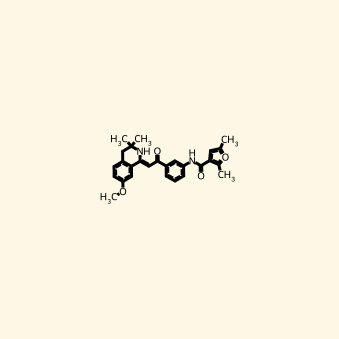 COc1ccc2c(c1)/C(=C/C(=O)c1cccc(NC(=O)c3cc(C)oc3C)c1)NC(C)(C)C2